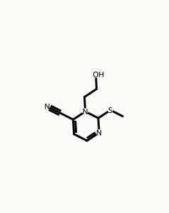 CSC1N=CC=C(C#N)N1CCO